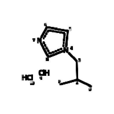 CC(C)Cn1ccnc1.Cl.Cl